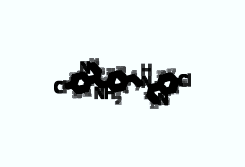 NC(c1ccc(CCNc2ccnc3cc(Cl)ccc23)cc1)c1ccnc2cc(Cl)ccc12